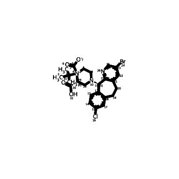 CC(C)(C)[N+]1(C(=O)[O-])CCN([C@H]2c3ccc(Cl)cc3CCc3cc(Br)cnc32)C[C@@H]1C(=O)O